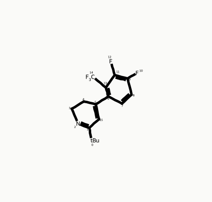 CC(C)(C)C1=NCCC(c2ccc(F)c(F)c2C(F)(F)F)=C1